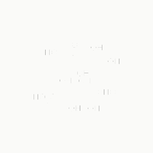 O=C(CO)C(O)C(O)CO.O=CC(O)C(O)C(O)C(O)C(=O)O